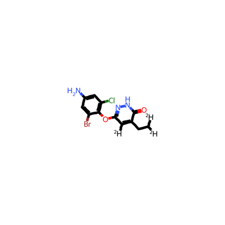 [2H]c1c(Oc2c(Cl)cc(N)cc2Br)n[nH]c(=O)c1CC([2H])[2H]